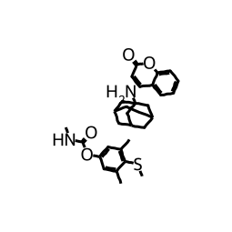 CNC(=O)Oc1cc(C)c(SC)c(C)c1.NC12CC3CC(CC(C3)C1)C2.O=c1ccc2ccccc2o1